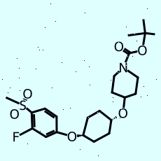 CC(C)(C)OC(=O)N1CCC(O[C@H]2CC[C@H](Oc3ccc(S(C)(=O)=O)c(F)c3)CC2)CC1